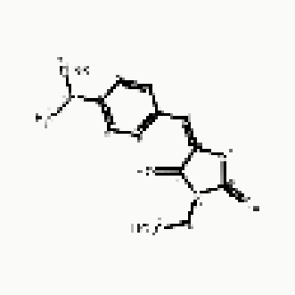 CCCCCCN(C)c1ccc(C=C2SC(=S)N(CC(=O)O)C2=O)cc1